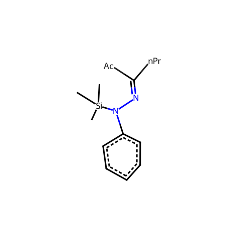 CCCC(=NN(c1ccccc1)[Si](C)(C)C)C(C)=O